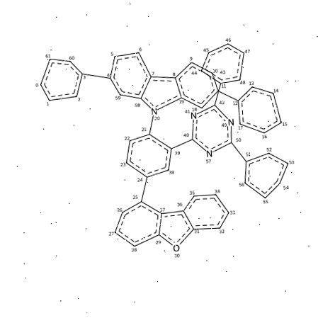 c1ccc(-c2ccc3c4ccc(-c5ccccc5)cc4n(-c4ccc(-c5cccc6oc7ccccc7c56)cc4-c4nc(-c5ccccc5)nc(-c5ccccc5)n4)c3c2)cc1